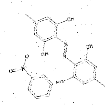 Cc1cc(O)c(N=Nc2c(O)cc(C)cc2O)c(O)c1.O=[N+]([O-])c1ccccc1